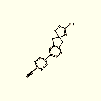 N#Cc1ncc(-c2ccc3c(c2)CC2(COC(N)=N2)C3)cn1